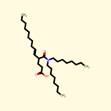 CCCCCCCC/C=C/C(CCC(=O)O)C(=O)N(CCCCCCCC)CCCCCCCC